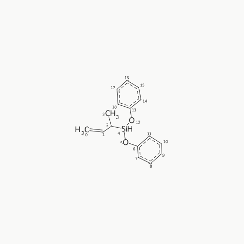 C=CC(C)[SiH](Oc1ccccc1)Oc1ccccc1